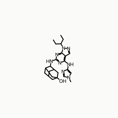 CCC(CC)n1ncc2c(Nc3cn(C)cn3)nc(NC3C4CC5CC3CC(O)(C5)C4)nc21